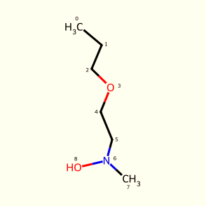 CCCOCCN(C)O